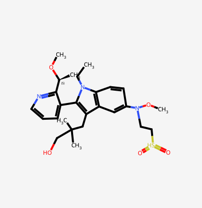 CCn1c(-c2cccnc2[C@H](C)OC)c(CC(C)(C)CO)c2cc(N(CC[SH](=O)=O)OC)ccc21